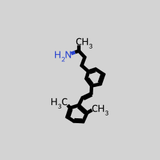 Cc1cccc(C)c1C=Cc1cccc(CCC(C)N)c1